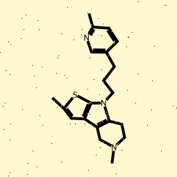 Cc1ccc(CCCn2c3c(c4cc(C)sc42)CN(C)CC3)cn1